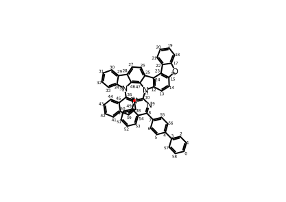 c1ccc(-c2ccc(-c3nc(-n4c5ccc6oc7ccccc7c6c5c5ccc6c7ccccc7n(-c7cccc8ccccc78)c6c54)nc4ccccc34)cc2)cc1